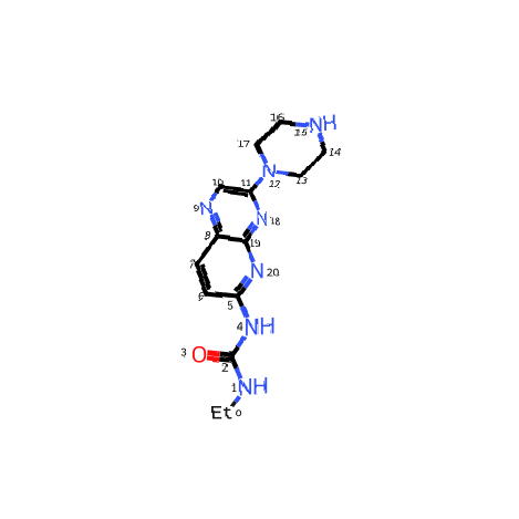 CCNC(=O)Nc1ccc2ncc(N3CCNCC3)nc2n1